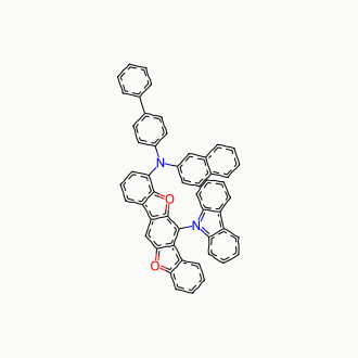 c1ccc(-c2ccc(N(c3ccc4ccccc4c3)c3cccc4c3oc3c(-n5c6ccccc6c6ccccc65)c5c(cc34)oc3ccccc35)cc2)cc1